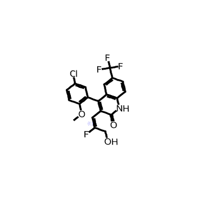 COc1ccc(Cl)cc1-c1c(/C=C(/F)CO)c(=O)[nH]c2ccc(C(F)(F)F)cc12